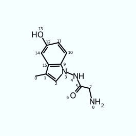 Cc1cn(NC(=O)CN)c2ccc(O)cc12